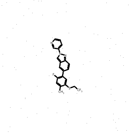 Cc1cc(F)c(-c2ccc3nn(-c4cccnc4)cc3c2)cc1SCC(F)(F)F